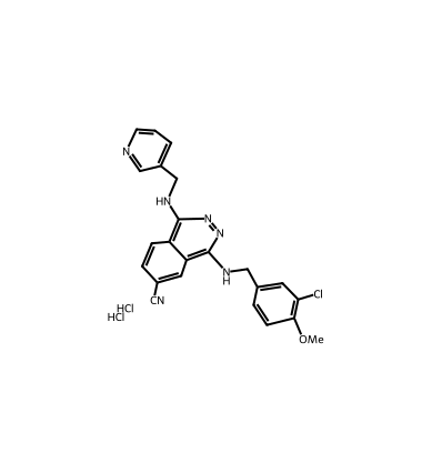 COc1ccc(CNc2nnc(NCc3cccnc3)c3ccc(C#N)cc23)cc1Cl.Cl.Cl